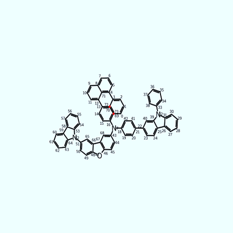 c1ccc(-c2cccc3cccc(-c4ccc(N(c5ccc(-c6ccc7c8ccccc8n(-c8ccccc8)c7c6)cc5)c5ccc6oc7ccc(-n8c9ccccc9c9ccccc98)cc7c6c5)cc4)c23)cc1